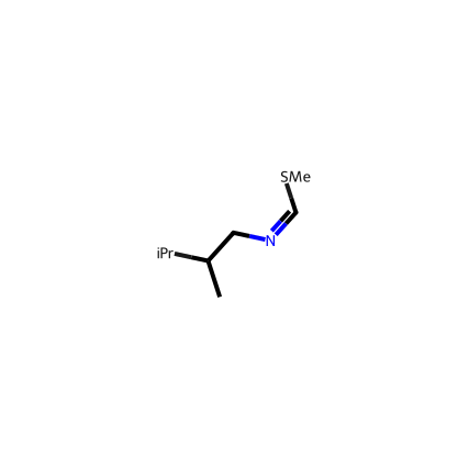 CS/C=N\CC(C)C(C)C